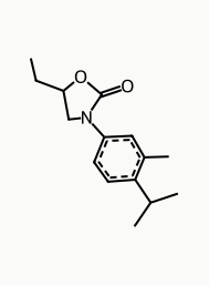 CCC1CN(c2ccc(C(C)C)c(C)c2)C(=O)O1